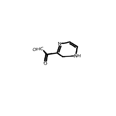 O=CC(=O)C1=NC=CNC1